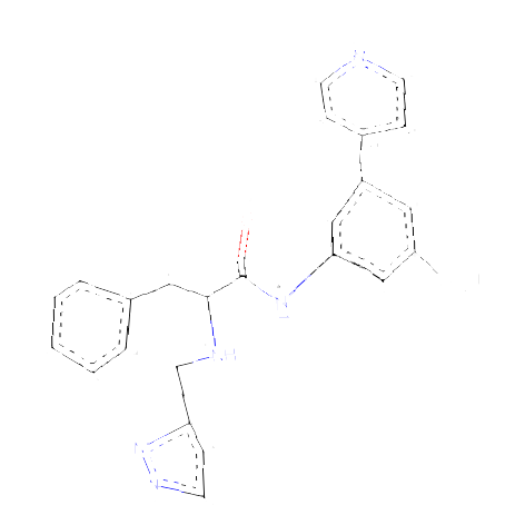 O=C(O)c1cc(NC(=O)C(Cc2ccccc2)NCc2cc[nH]n2)cc(-c2ccncc2)c1